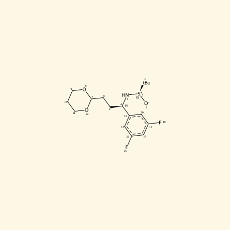 CC(C)(C)[S@@+]([O-])N[C@H](CCC1OCCCO1)c1cc(F)cc(F)c1